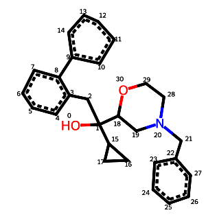 OC(Cc1ccccc1-c1ccccc1)(C1CC1)C1CN(Cc2ccccc2)CCO1